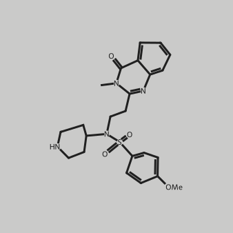 COc1ccc(S(=O)(=O)N(CCc2nc3ccccc3c(=O)n2C)C2CCNCC2)cc1